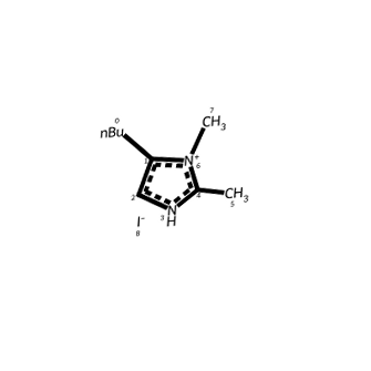 CCCCc1c[nH]c(C)[n+]1C.[I-]